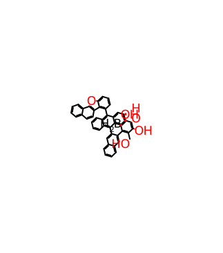 Bc1c(O)c(O)c(O)c(CO)c1-c1cc2ccccc2cc1-c1c2ccccc2c(-c2cccc3oc4c5ccccc5ccc4c23)c2ccccc12